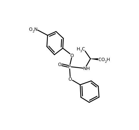 C[C@H](NP(=O)(Oc1ccccc1)Oc1ccc([N+](=O)[O-])cc1)C(=O)O